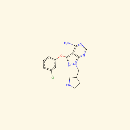 Nc1ncnc2c1c(Oc1cccc(Cl)c1)nn2CC1CCNC1